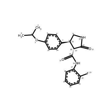 CC(C)Oc1ccc([C@H]2CNC(=O)[C@@H]2C(=O)Nc2ccccc2F)cc1